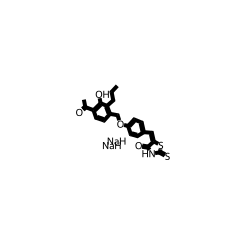 CCCc1c(COc2ccc(C=C3SC(=S)NC3=O)cc2)ccc(C(C)=O)c1O.[NaH].[NaH]